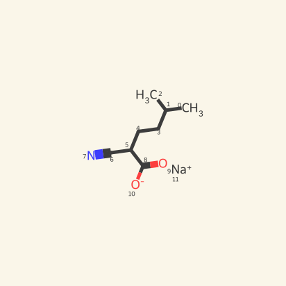 CC(C)CCC(C#N)C(=O)[O-].[Na+]